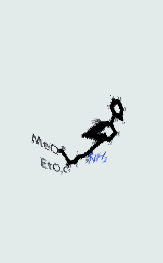 CCOC(=O)C(CCC(N)c1ccc(-c2ccccc2)cc1)COC